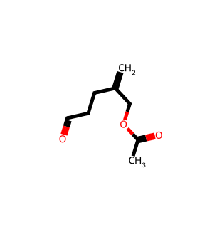 C=C(CCC=O)COC(C)=O